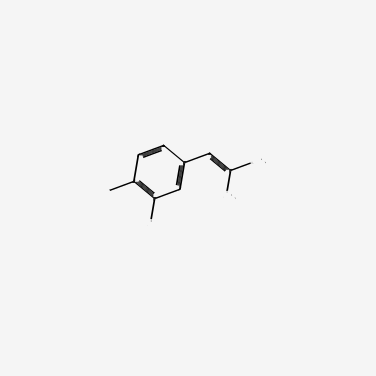 Cc1ccc(C=C(C#N)C#N)cc1Cl